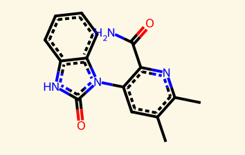 Cc1cc(-n2c(=O)[nH]c3ccccc32)c(C(N)=O)nc1C